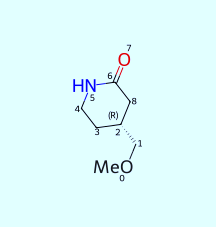 COC[C@@H]1CCNC(=O)C1